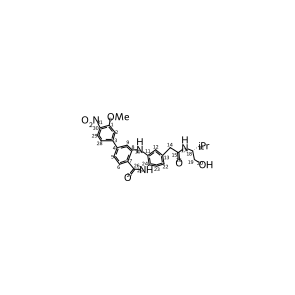 COc1cc(-c2ccc3c(c2)Nc2cc(CC(=O)N[C@@H](CO)C(C)C)ccc2NC3=O)ccc1[N+](=O)[O-]